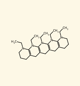 CCN1CCCC2=C1N(CC)C1=C(C2)CC2=C(N(CC)C3=C(CCCN3CC)C2)N1CC